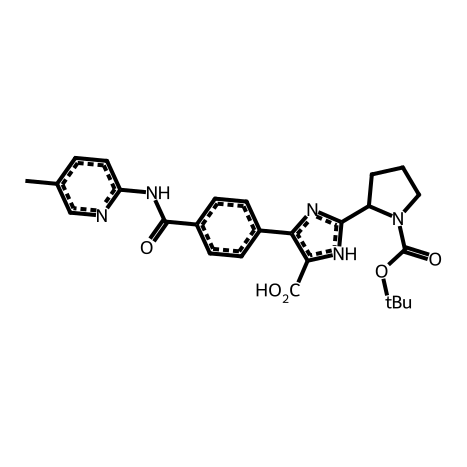 Cc1ccc(NC(=O)c2ccc(-c3nc(C4CCCN4C(=O)OC(C)(C)C)[nH]c3C(=O)O)cc2)nc1